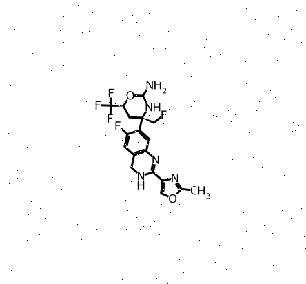 Cc1nc(C2=Nc3cc([C@]4(CF)C[C@@H](C(F)(F)F)OC(N)N4)c(F)cc3CN2)co1